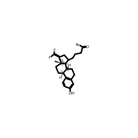 C[C@]12CC[C@@H]3c4ccc(O)cc4CC[C@H]3[C@@H]1C(CCCC(=O)Br)CC2=C(F)F